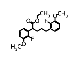 CCOC(=O)C(CCCc1cccc(OC)c1F)c1cccc(OC)c1F